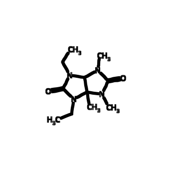 CCN1C(=O)N(CC)C2(C)C1N(C)C(=O)N2C